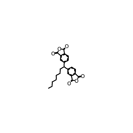 CCCCCCCC(c1ccc2c(c1)C(=O)OC2=O)c1ccc2c(c1)C(=O)OC2=O